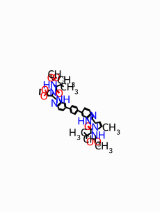 COC(=O)NC(C(=O)N1CC(C)=CC1c1nc2ccc(-c3ccc(-c4ccc5nc(C6CC7(CN6C(=O)C(NC(=O)OC)C(C)C)OCCO7)[nH]c5c4)cc3)cc2[nH]1)C(C)C